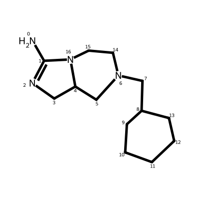 NC1=NCC2CN(CC3CCCCC3)CCN12